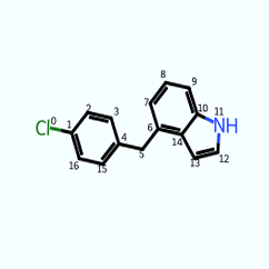 Clc1ccc(Cc2cccc3[nH]ccc23)cc1